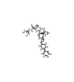 CCN(CC)CCN(C)C(=O)CC1CCCc2cc(OCc3ccc(-c4ccccc4)cc3)ccc21.Cl